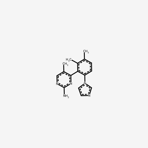 Cc1cnc(N)nc1-c1c(-n2ccnc2)ccc(C)c1C